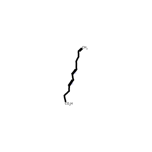 C=CCC/C=C/C=C/CCC(=O)O